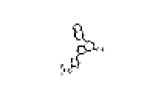 CN1CCN(c2ccc3ccccc3c2)c2ccc(-c3ccc(OC(F)F)nn3)cc2C1